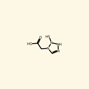 O=C(O)CN1C=NNN1S